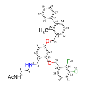 CC(=O)NCCNCc1ccc(OCc2cccc(-c3ccccc3)c2C)cc1OCc1cccc(Cl)c1F